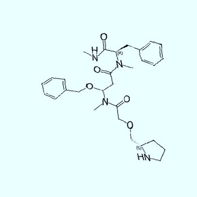 CNC(=O)[C@@H](Cc1ccccc1)N(C)C(=O)CC(OCc1ccccc1)N(C)C(=O)COC[C@@H]1CCCN1